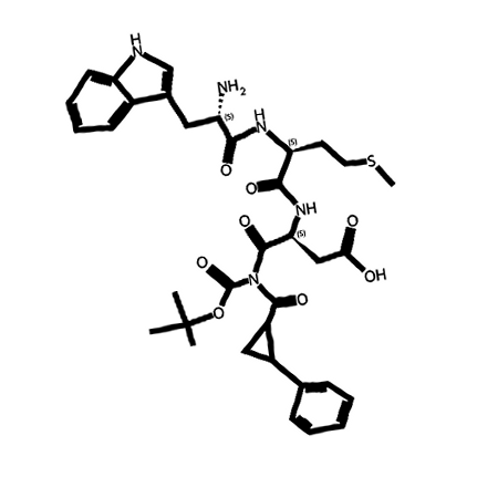 CSCC[C@H](NC(=O)[C@@H](N)Cc1c[nH]c2ccccc12)C(=O)N[C@@H](CC(=O)O)C(=O)N(C(=O)OC(C)(C)C)C(=O)C1CC1c1ccccc1